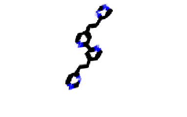 C(=Cc1ccncn1)c1ccnc(-c2cc(C=Cc3ccncn3)ccn2)c1